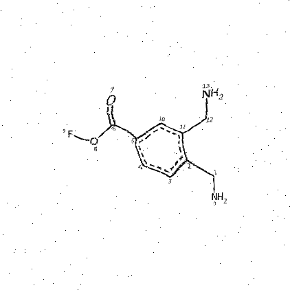 NCc1ccc(C(=O)OF)cc1CN